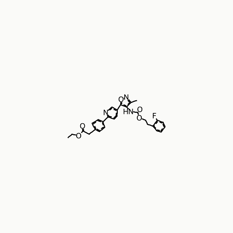 CCOC(=O)Cc1ccc(-c2ccc(-c3onc(C)c3NC(=O)OCCc3ccccc3F)cn2)cc1